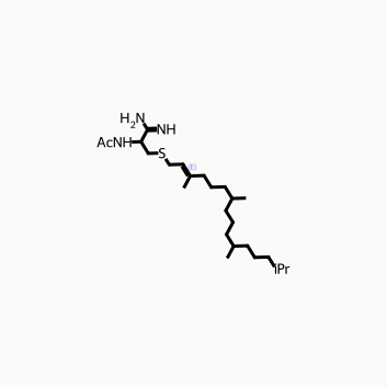 CC(=O)NC(CSC/C=C(\C)CCCC(C)CCCC(C)CCCC(C)C)C(=N)N